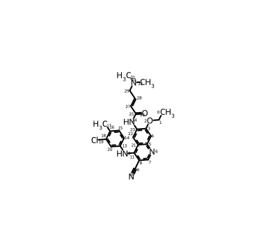 CCOc1cc2ncc(C#N)c(Nc3ccc(C)c(Cl)c3)c2cc1NC(=O)/C=C/CN(C)C